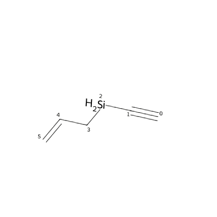 C#C[SiH2]CC=C